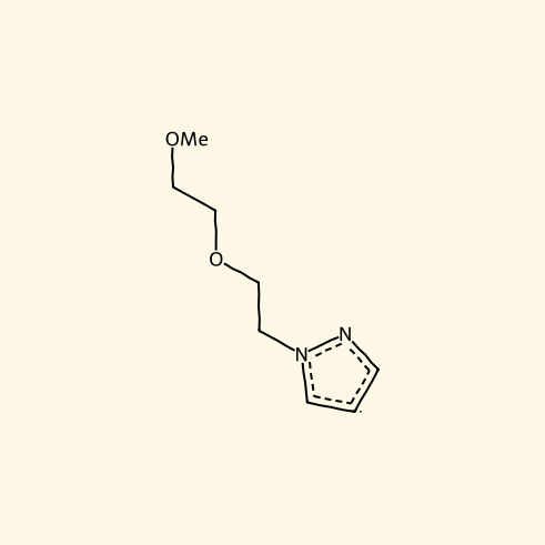 COCCOCCn1c[c]cn1